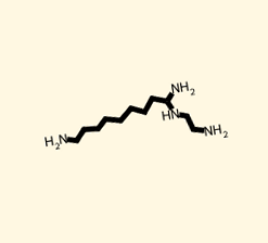 NCCCCCCCCC(N)NCCN